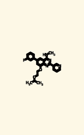 CNc1nc(-c2cccnc2)nc2c(OCCOC(C)C)cc(-c3cccc(F)c3)cc12